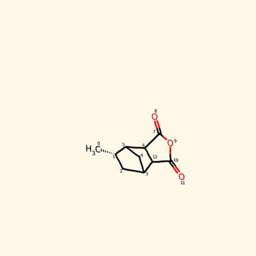 C[C@H]1CC2CC1C1C(=O)OC(=O)C21